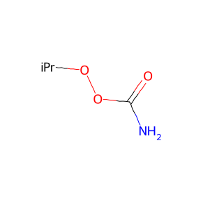 CC(C)OOC(N)=O